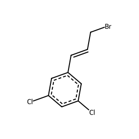 Clc1cc(Cl)cc(C=CCBr)c1